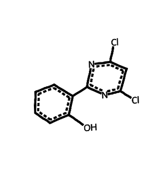 Oc1ccccc1-c1nc(Cl)cc(Cl)n1